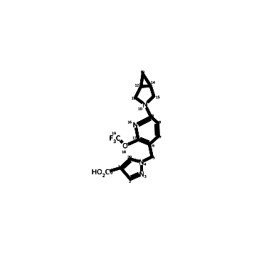 O=C(O)c1cnn(Cc2ccc(N3CC4CC4C3)nc2OC(F)(F)F)c1